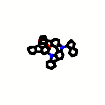 c1ccc2c(c1)-c1cccc3cc(-n4c5ccccc5c5ccc6c(c7c8oc9ccccc9c8ccc7n6-c6cccc7ccccc67)c54)cc-2c13